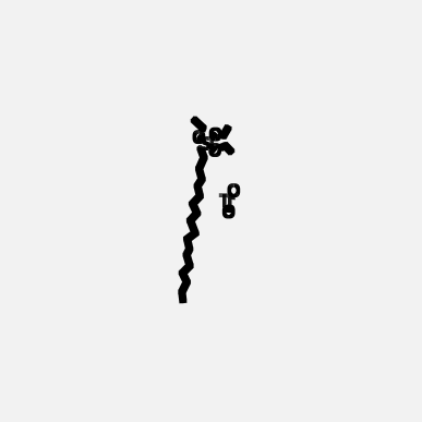 CCCCCCCCCCCCCCCCCC[Si](OCC)(OCC)OCC.[O]=[Ti]=[O]